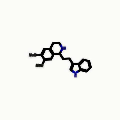 COc1cc2c(cc1OC)C(CCc1c[nH]c3ccccc13)NCC2